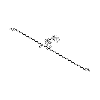 CCCCCCCCCCCCCCCCCCCCCCCCC(=O)OC(COC(=O)CCCCCCCCCCCCCCCCCC)COP(=O)(O)OCC[N+](C)(C)C